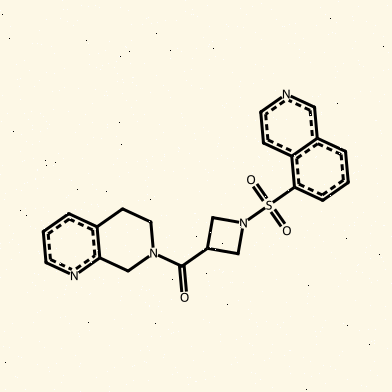 O=C(C1CN(S(=O)(=O)c2cccc3cnccc23)C1)N1CCc2cccnc2C1